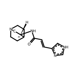 O=C(C=Cc1c[nH]cn1)N[C@H]1CN2CCC1CC2